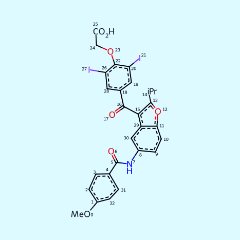 COc1ccc(C(=O)Nc2ccc3oc(C(C)C)c(C(=O)c4cc(I)c(OCC(=O)O)c(I)c4)c3c2)cc1